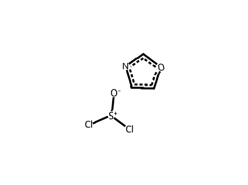 [O-][S+](Cl)Cl.c1cocn1